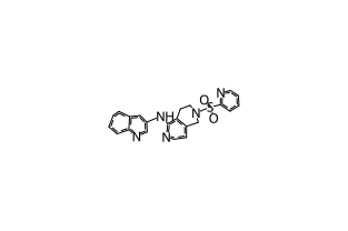 O=S(=O)(c1ccccn1)N1CCc2c(ccnc2Nc2cnc3ccccc3c2)C1